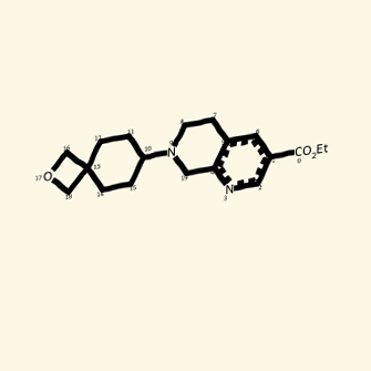 CCOC(=O)c1cnc2c(c1)CCN(C1CCC3(CC1)COC3)C2